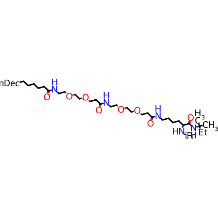 CCCCCCCCCCCCCCCC(=O)NCCOCCOCCC(=O)NCCOCCOCCC(=O)NCCCCC(NC(C)C)C(=O)NC(C)(C)CC